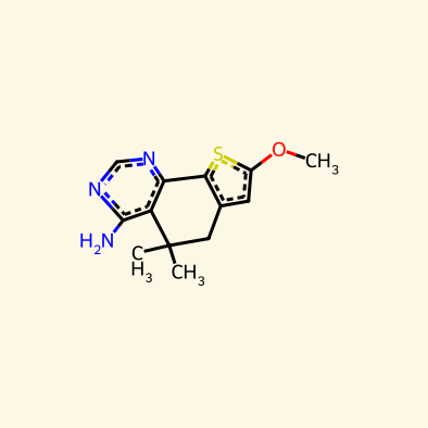 COc1cc2c(s1)-c1ncnc(N)c1C(C)(C)C2